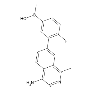 CB(O)c1ccc(F)c(-c2ccc3c(N)nnc(C)c3c2)c1